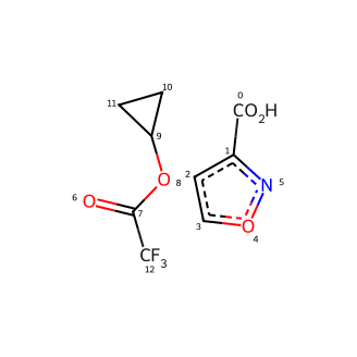 O=C(O)c1ccon1.O=C(OC1CC1)C(F)(F)F